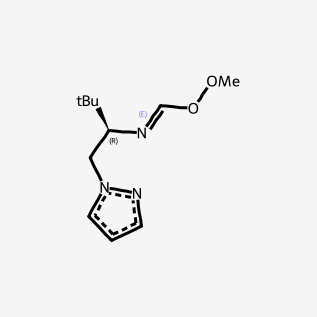 COO/C=N/[C@@H](Cn1cccn1)C(C)(C)C